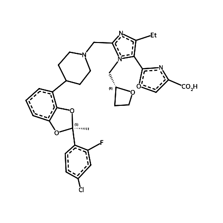 CCc1nc(CN2CCC(c3cccc4c3O[C@@](C)(c3ccc(Cl)cc3F)O4)CC2)n(C[C@H]2CCO2)c1-c1nc(C(=O)O)co1